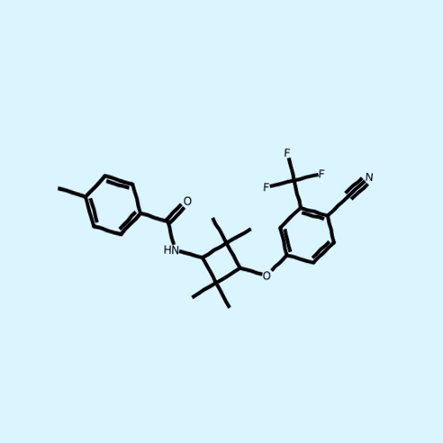 Cc1ccc(C(=O)NC2C(C)(C)C(Oc3ccc(C#N)c(C(F)(F)F)c3)C2(C)C)cc1